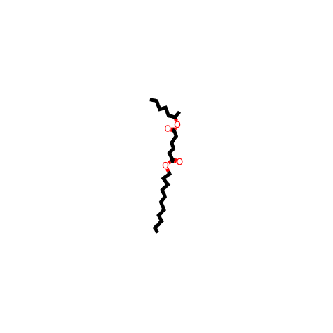 CCCCCCCCCCCOC(=O)CCCCC(=O)OC(C)CCCCC